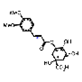 COc1ccc(/C=C/C(=O)O[C@@H]2C[C@](O)(C(=O)O)C[C@@H](O)[C@H]2O)cc1OC